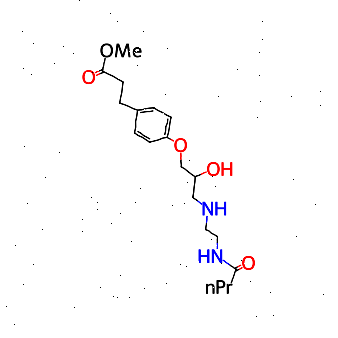 CCCC(=O)NCCNCC(O)COc1ccc(CCC(=O)OC)cc1